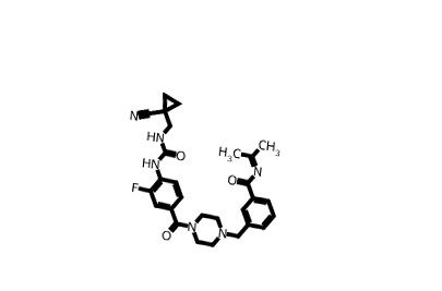 CC(C)=NC(=O)c1cccc(CN2CCN(C(=O)c3ccc(NC(=O)NCC4(C#N)CC4)c(F)c3)CC2)c1